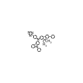 CC1(C)c2cc(-c3ccccc3)ccc2-c2ccc(N(c3ccc(-c4ncncn4)cc3)c3ccc4c(c3)c3ccccc3n4-c3ccccc3)cc21